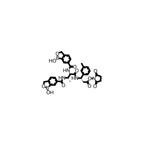 Cc1cccc([C@H](CC(=O)ON2C(=O)CCC2=O)NC(=O)[C@@H](NC(=O)c2ccc3c(c2)B(O)OC3)[C@H](C)NC(=O)c2ccc3c(c2)B(O)OC3)c1